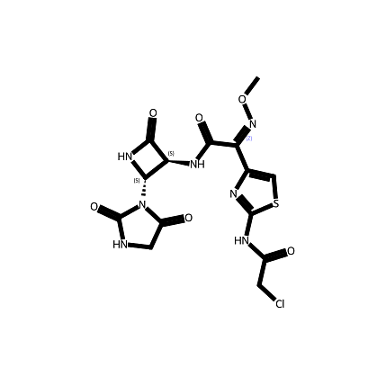 CO/N=C(\C(=O)N[C@@H]1C(=O)N[C@H]1N1C(=O)CNC1=O)c1csc(NC(=O)CCl)n1